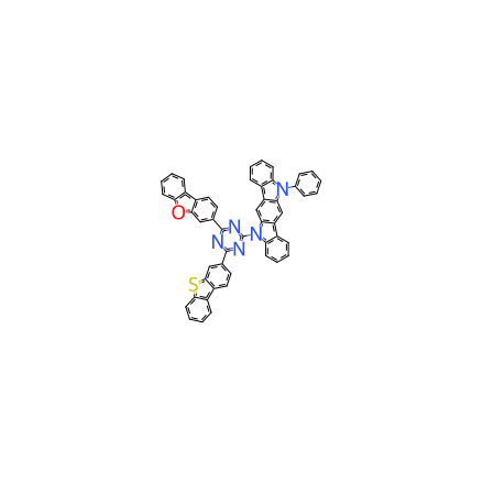 c1ccc(-n2c3ccccc3c3cc4c(cc32)c2ccccc2n4-c2nc(-c3ccc4c(c3)oc3ccccc34)nc(-c3ccc4c(c3)sc3ccccc34)n2)cc1